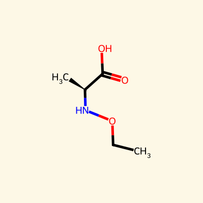 CCON[C@@H](C)C(=O)O